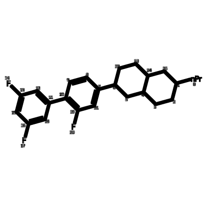 CCCC1CCC2CC(c3ccc(-c4cc(F)cc(F)c4)c(F)c3)CCC2C1